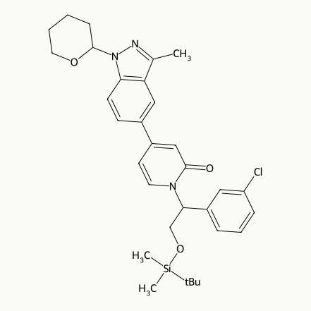 Cc1nn(C2CCCCO2)c2ccc(-c3ccn(C(CO[Si](C)(C)C(C)(C)C)c4cccc(Cl)c4)c(=O)c3)cc12